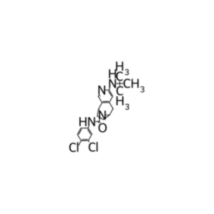 CC(C)(C)Nc1cc2c(cn1)C1CCC(C2)N1C(=O)Nc1ccc(Cl)c(Cl)c1